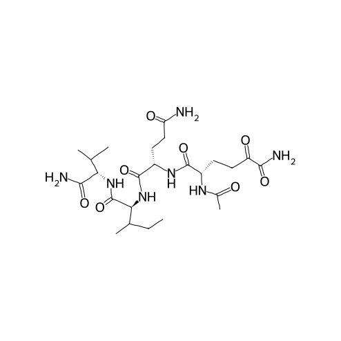 CCC(C)[C@H](NC(=O)[C@H](CCC(N)=O)NC(=O)[C@H](CCC(=O)C(N)=O)NC(C)=O)C(=O)N[C@H](C(N)=O)C(C)C